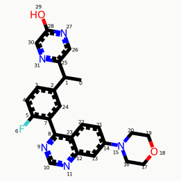 CC(c1ccc(F)c(-c2ncnc3cc(N4CCOCC4)ccc23)c1)c1cnc(O)cn1